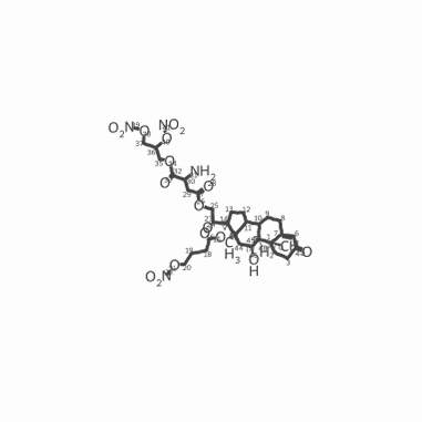 C[C@]12CCC(=O)C=C1CCC1C3CC[C@](OC(=O)CCCO[N+](=O)[O-])(C(=O)COC(=O)CC(N)C(=O)OCC(CO[N+](=O)[O-])O[N+](=O)[O-])[C@@]3(C)C[C@H](O)[C@@H]12